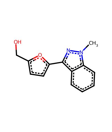 Cn1nc(-c2ccc(CO)o2)c2ccccc21